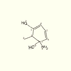 CC1C(O)=CC=CC1(N)O